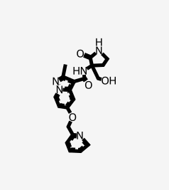 Cc1nn2ccc(OCc3ccccn3)cc2c1C(=O)NC1(CO)CCNC1=O